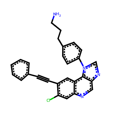 NCCCc1ccc(-n2cnc3cnc4cc(Cl)c(C#Cc5ccccc5)cc4c32)cc1